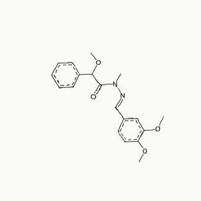 COc1ccc(C=NN(C)C(=O)C(OC)c2ccccc2)cc1OC